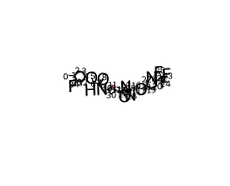 Cc1ccc(OCC(=O)NC23CC(c4nc(COc5ccc(C(F)(F)F)nc5)no4)(C2)C3)cc1F